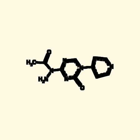 CC(=O)N(N)c1ncn(-c2ccncc2)c(=O)n1